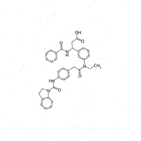 CCN(C(=O)Cc1ccc(NC(=O)N2CCc3ccccc32)cc1)c1cccc(C(CC(=O)O)NC(=O)c2ccccc2)c1